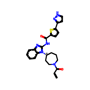 C=CC(=O)N1CCC[C@@H](n2c(NC(=O)c3ccc(-c4cc[nH]n4)s3)nc3ccccc32)CC1